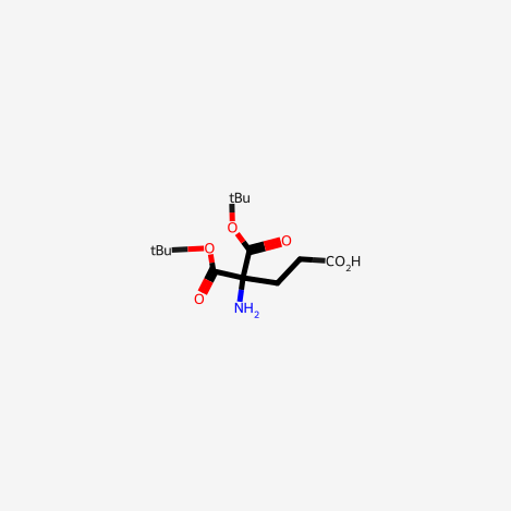 CC(C)(C)OC(=O)C(N)(CCC(=O)O)C(=O)OC(C)(C)C